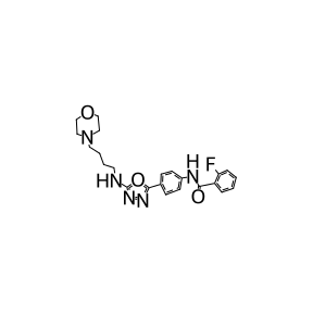 O=C(Nc1ccc(-c2nnc(NCCCCN3CCOCC3)o2)cc1)c1ccccc1F